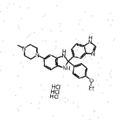 CCOc1ccc(C2(c3ccc4[nH]cnc4c3)Nc3ccc(N4CCN(C)CC4)cc3N2)cc1.Cl.Cl.Cl